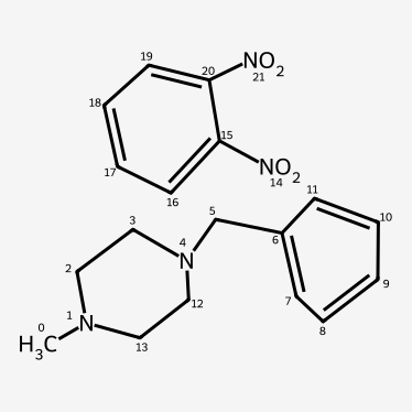 CN1CCN(Cc2ccccc2)CC1.O=[N+]([O-])c1ccccc1[N+](=O)[O-]